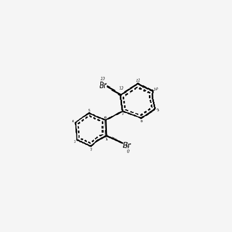 Brc1ccc[c]c1-c1ccccc1Br